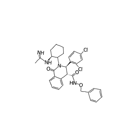 CC(=N)N[C@H]1CCCCC1N1C(=O)c2ccccc2[C@@H](C(=O)NOCc2ccccc2)[C@@H]1c1ccc(Cl)cc1Cl